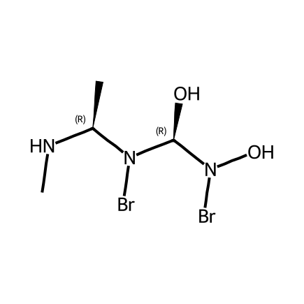 CN[C@@H](C)N(Br)[C@@H](O)N(O)Br